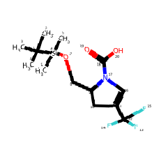 CC(C)(C)[Si](C)(C)OCC1CC(C(F)(F)F)=CN1C(=O)O